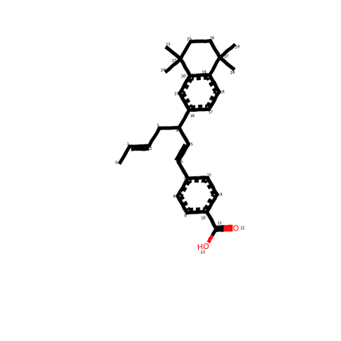 C/C=C/CC(/C=C/c1ccc(C(=O)O)cc1)c1ccc2c(c1)C(C)(C)CCC2(C)C